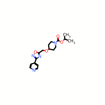 CC(C)OC(=O)N1CCC(OCc2nc(-c3ccncc3)no2)CC1